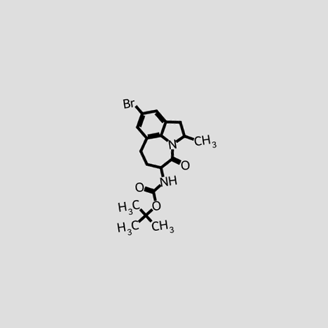 CC1Cc2cc(Br)cc3c2N1C(=O)C(NC(=O)OC(C)(C)C)CC3